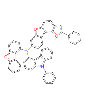 c1ccc(-c2nc3ccc4oc5cc(N(c6cccc7oc8ccccc8c67)c6cccc7c6c6ccccc6n7-c6ccccc6)ccc5c4c3o2)cc1